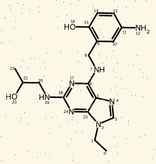 CCn1cnc2c(NCc3cc(N)ccc3O)nc(NCC(C)O)nc21